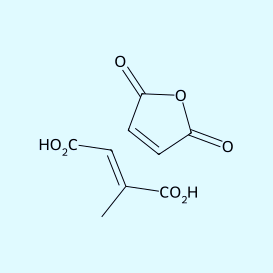 CC(=CC(=O)O)C(=O)O.O=C1C=CC(=O)O1